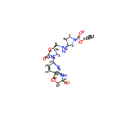 CC(C)(C)OC(=O)N1CC[C@H](NC[C@H]2CN(c3ccc4c(n3)NC(=O)CO4)C(=O)O2)C1